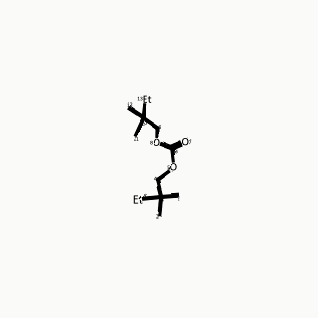 CCC(C)(C)COC(=O)OCC(C)(C)CC